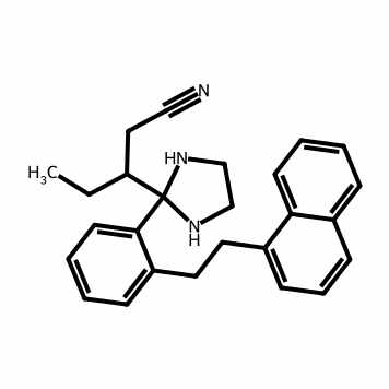 CCC(CC#N)C1(c2ccccc2CCc2cccc3ccccc23)NCCN1